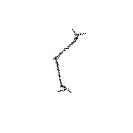 CCCCCCOc1cc(Cn2cc(COCCOCCOCCOCCOCCOCCOCCOCCO[PH](=O)OCCOCCOCCOCCOCCOCCOCCOCCOCc3cn(Cc4cc(OCCCCCC)cc(OCCCCCC)c4)nn3)nn2)cc(OCCCCCC)c1